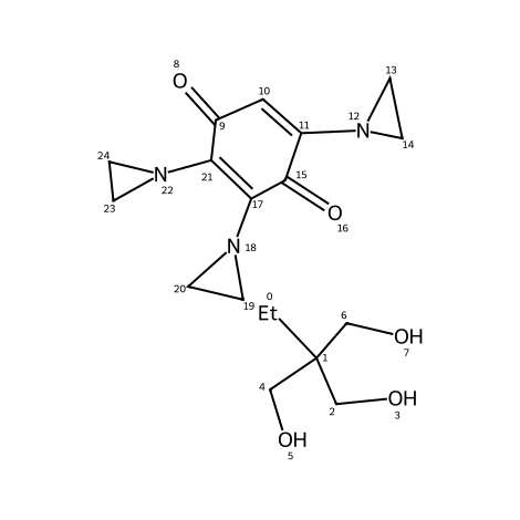 CCC(CO)(CO)CO.O=C1C=C(N2CC2)C(=O)C(N2CC2)=C1N1CC1